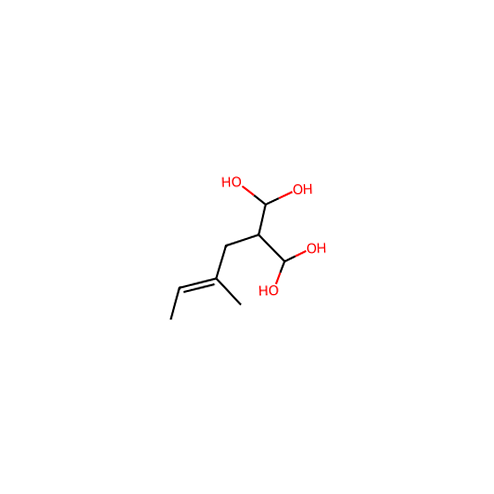 C/C=C(\C)CC(C(O)O)C(O)O